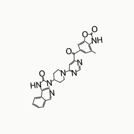 Cc1cc(C(=O)c2cc(N3CCC(n4c(=O)[nH]c5c6ccccc6cnc54)CC3)ncn2)cc2oc(=O)[nH]c12